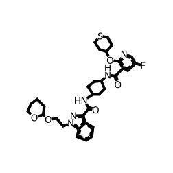 O=C(NC1CCC(NC(=O)c2nn(CCOC3CCCCO3)c3ccccc23)CC1)c1cc(F)cnc1OC1CCSCC1